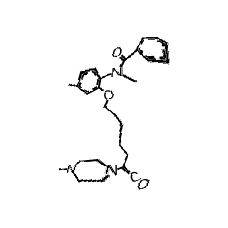 Cc1ccc(N(C)C(=O)c2ccccc2)c(OCCCCC(=C=O)N2CCN(C)CC2)c1